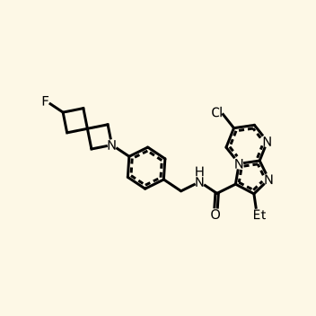 CCc1nc2ncc(Cl)cn2c1C(=O)NCc1ccc(N2CC3(CC(F)C3)C2)cc1